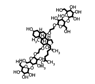 CC(C)CCC[C@@H](C)[C@H]1CC[C@H]2[C@@H]3[C@H](OCCO[C@@H]4OC(CO)[C@@H](O[C@H]5OC(CO)[C@@H](O)[C@H](O)C5O)[C@H](O)C4O)C[C@@H]4C[C@H](O)CC[C@]4(C)[C@H]3C[C@H](OCCO[C@@H]3OC(CO)[C@@H](O[C@H]4OC(CO)[C@@H](O)[C@H](O)C4O)[C@H](O)C3O)[C@]12C